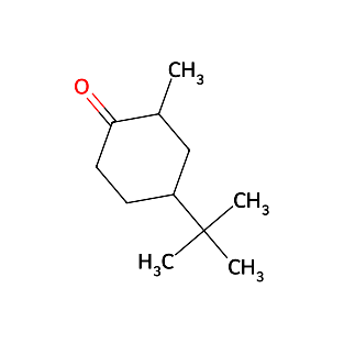 CC1CC(C(C)(C)C)CCC1=O